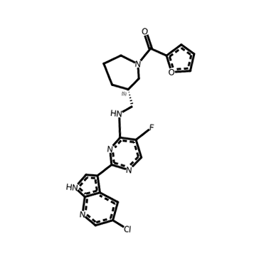 O=C(c1ccco1)N1CCC[C@@H](CNc2nc(-c3c[nH]c4ncc(Cl)cc34)ncc2F)C1